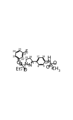 CCS(=O)(=O)N1N=C(c2ccc(NS(C)(=O)=O)cc2)C[C@H]1c1c(F)cccc1Cl